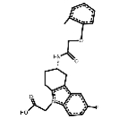 Cc1ccccc1OCC(=O)N[C@H]1CCc2c(c3cc(F)ccc3n2CC(=O)O)C1